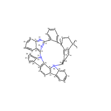 CC1(C)CCC2(C)c3ccccc3-c3nc(c4ccccc4n3)-n3c4ccccc4c4ccc5c6ccccc6n(c5c43)-c3ccc2c1c3